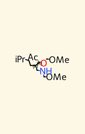 COCNC[C@@H](CCC(C)C)[C@@H](OCOC)C(C)=O